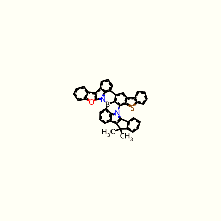 CC1(C)c2ccccc2-c2c1c1cccc3c1n2-c1c2c(cc4c1sc1ccccc14)-c1cccc4c5c6ccccc6oc5n(c14)B23